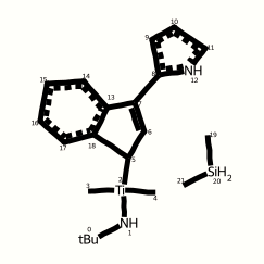 CC(C)(C)[NH][Ti]([CH3])([CH3])[CH]1C=C(c2ccc[nH]2)c2ccccc21.C[SiH2]C